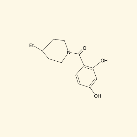 [CH2]CC1CCN(C(=O)c2ccc(O)cc2O)CC1